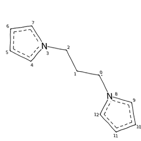 [CH](CCn1cccc1)n1cccc1